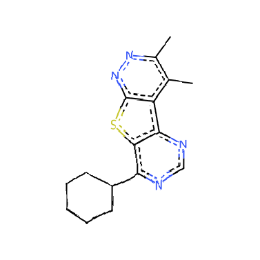 Cc1nnc2sc3c(C4CCCCC4)ncnc3c2c1C